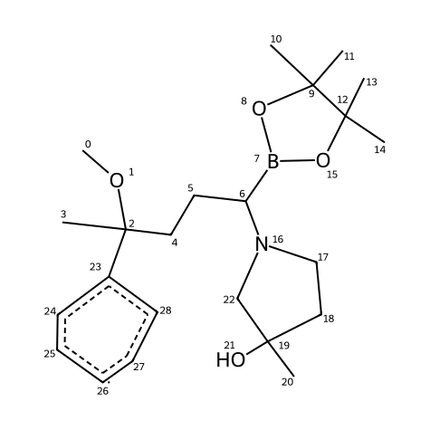 COC(C)(CCC(B1OC(C)(C)C(C)(C)O1)N1CCC(C)(O)C1)c1cc[c]cc1